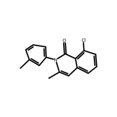 Cc1cccc(-n2c(C)cc3cccc(Cl)c3c2=O)c1